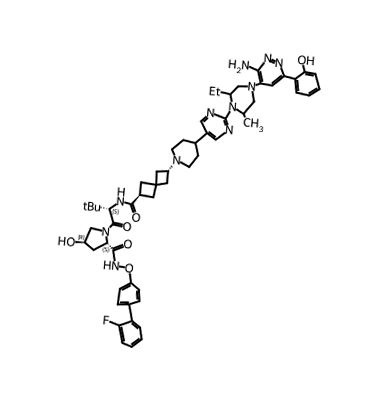 CCC1CN(c2cc(-c3ccccc3O)nnc2N)CC(C)N1c1ncc(C2CCN([C@H]3CC4(C[C@H](C(=O)N[C@H](C(=O)N5C[C@H](O)C[C@H]5C(=O)NOc5ccc(-c6ccccc6F)cc5)C(C)(C)C)C4)C3)CC2)cn1